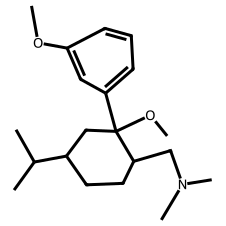 COc1cccc(C2(OC)CC(C(C)C)CCC2CN(C)C)c1